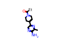 CCC(=O)N1CC=C(c2cnc(N)c(C)n2)CC1